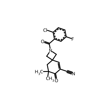 CC1(C)CC2(C=C(C#N)C1=O)CN(C(=O)c1cc(F)ccc1Cl)C2